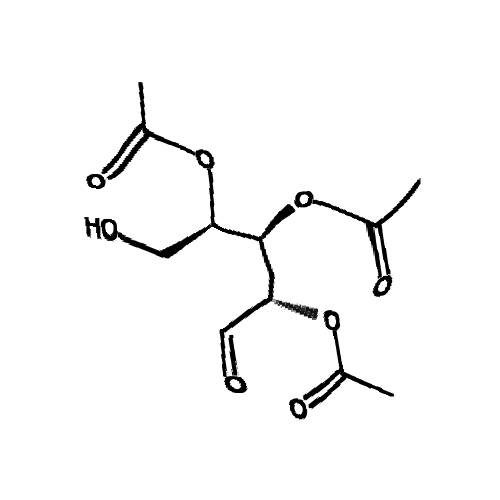 CC(=O)O[C@@H]([C@@H](C=O)OC(C)=O)[C@@H](CO)OC(C)=O